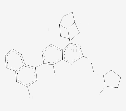 CN1CCC[C@H]1COc1nc(N2[C@@H]3CC[C@H]2C[C@H](N)C3)c2cnc(-c3cc(O)cc4ccccc34)c(F)c2n1